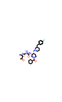 CC(=O)c1sc(NC(=O)N[C@H]2CN(C(=O)C3CCCCC3)CC[C@H]2CN2CCCC(Cc3ccc(F)cc3)C2)nc1C